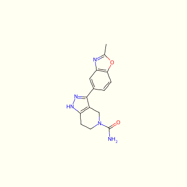 Cc1nc2cc(-c3n[nH]c4c3CN(C(N)=O)CC4)ccc2o1